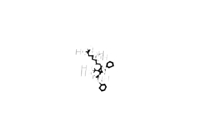 CC(C)c1c(C(=O)NCc2ccccc2)nn(-c2ccccc2)c1CC[C@@H](O)C[C@@H](O)CC(=O)O